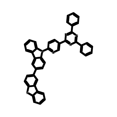 c1ccc(-c2nc(-c3ccccc3)nc(-c3ccc(-n4c5ccccc5c5cc(-c6ccc7sc8ccccc8c7c6)ccc54)nc3)n2)cc1